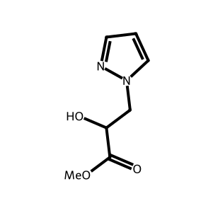 COC(=O)C(O)Cn1cccn1